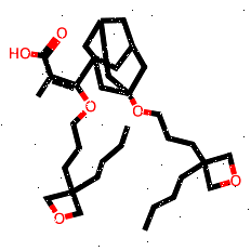 CCCCC1(CCCOC(=C(C)C(=O)O)C23CC4CC(CC(OCCCC5(CCCC)COC5)(C4)C2)C3)COC1